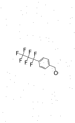 [O]Cc1ccc(C(F)(F)C(F)(F)C(F)(F)F)cc1